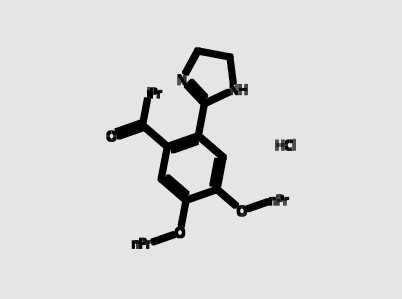 CCCOc1cc(C(=O)C(C)C)c(C2=NCCN2)cc1OCCC.Cl